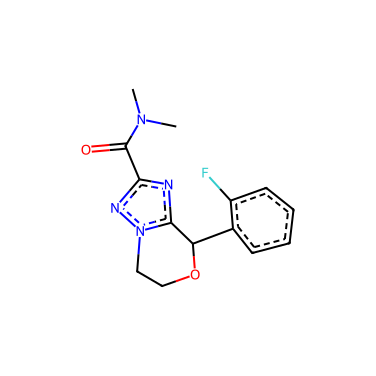 CN(C)C(=O)c1nc2n(n1)CCOC2c1ccccc1F